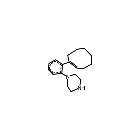 C1=C(/c2ccccc2N2CCNCC2)CCCCCC/1